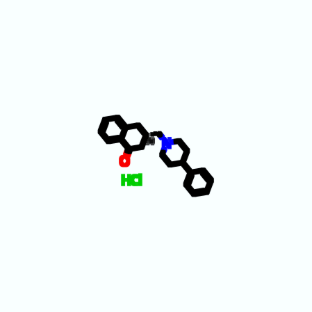 Cl.O=C1C[C@@H](CN2CCC(c3ccccc3)CC2)Cc2ccccc21